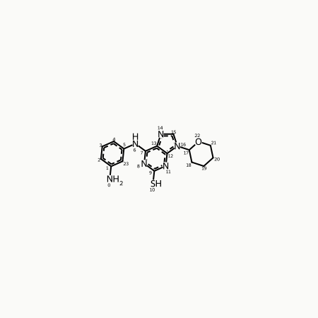 Nc1cccc(Nc2nc(S)nc3c2ncn3C2CCCCO2)c1